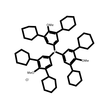 COc1c(C2CCCCC2)cc([S+](c2cc(C3CCCCC3)c(OC)c(C3CCCCC3)c2)c2cc(C3CCCCC3)c(OC)c(C3CCCCC3)c2)cc1C1CCCCC1.[Cl-]